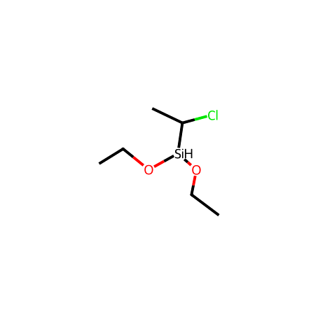 CCO[SiH](OCC)C(C)Cl